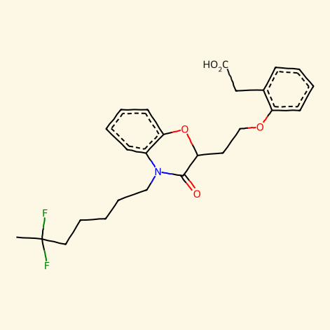 CC(F)(F)CCCCCN1C(=O)C(CCOc2ccccc2CC(=O)O)Oc2ccccc21